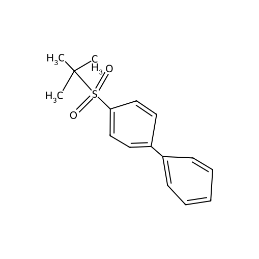 CC(C)(C)S(=O)(=O)c1ccc(-c2ccccc2)cc1